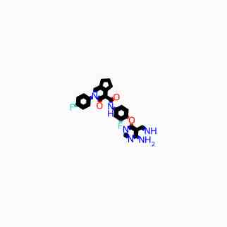 N=Cc1c(N)ncnc1Oc1ccc(NC(=O)c2c3c(cn(-c4ccc(F)cc4)c2=O)CCC3)cc1F